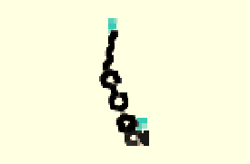 N#Cc1ccc([C@H]2CC[C@H]([C@H]3CC[C@H](CCCCC=CF)CC3)CC2)cc1F